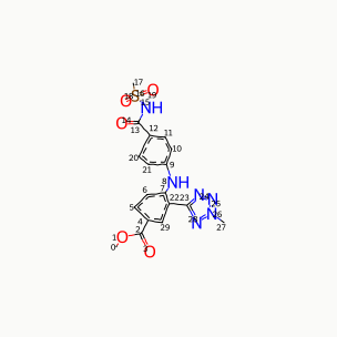 COC(=O)c1ccc(Nc2ccc(C(=O)NS(C)(=O)=O)cc2)c(-c2nnn(C)n2)c1